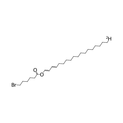 [2H]CCCCCCCCCCCCCCC=CC=COC(=O)CCCCCBr